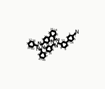 N#Cc1ccc(-c2cccc(-c3nc(-c4ccccc4)nc(-c4ccccc4-c4ccc(-c5nc(-c6ccccc6)nc(-c6ccccc6)n5)cc4)n3)c2)cc1